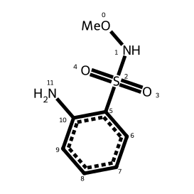 CONS(=O)(=O)c1ccccc1N